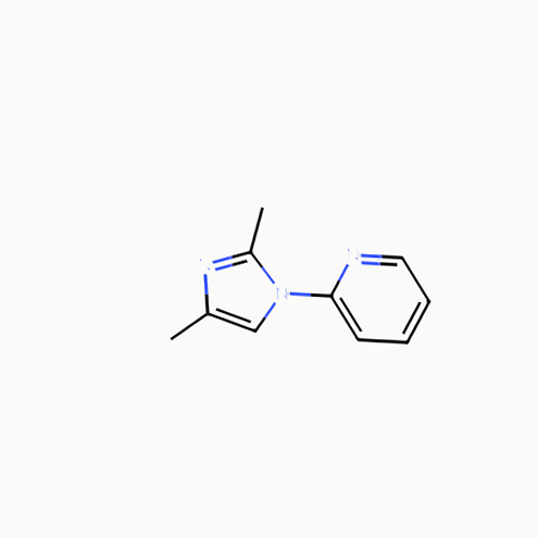 Cc1cn(-c2ccccn2)c(C)n1